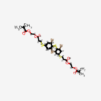 C=C(C)C(=O)OCCOC(=O)CCSc1cc(Br)c(Sc2c(Br)cc(SCCC(=O)OCCOC(=O)C(=C)C)cc2Br)c(Br)c1